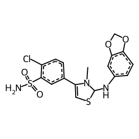 CN1C(c2ccc(Cl)c(S(N)(=O)=O)c2)=CSC1Nc1ccc2c(c1)OCO2